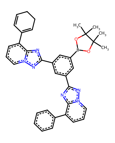 CC1(C)OB(c2cc(-c3nc4c(C5=CCCC=C5)cccn4n3)cc(-c3nc4c(-c5ccccc5)cccn4n3)c2)OC1(C)C